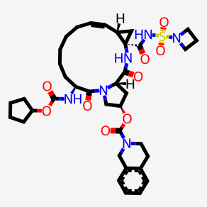 O=C(N[C@H]1CCCCC/C=C\[C@@H]2C[C@@]2(C(=O)NS(=O)(=O)N2CCC2)NC(=O)[C@@H]2C[C@@H](OC(=O)N3CCc4ccccc4C3)CN2C1=O)OC1CCCC1